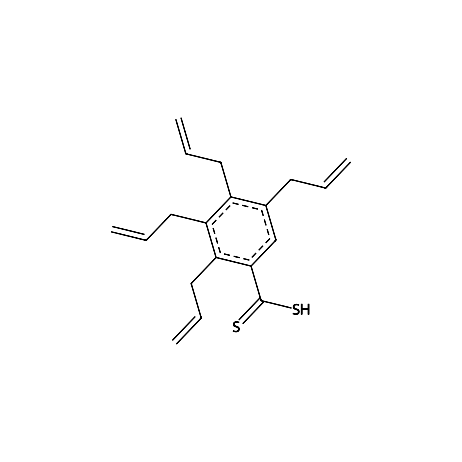 C=CCc1cc(C(=S)S)c(CC=C)c(CC=C)c1CC=C